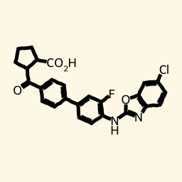 O=C(O)C1CCCC1C(=O)c1ccc(-c2ccc(Nc3nc4ccc(Cl)cc4o3)c(F)c2)cc1